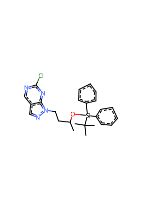 CC(CCn1ncc2cnc(Cl)nc21)O[Si](c1ccccc1)(c1ccccc1)C(C)(C)C